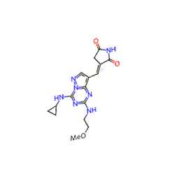 COCCNc1nc(NC2CC2)n2ncc(/C=C3\CC(=O)NC3=O)c2n1